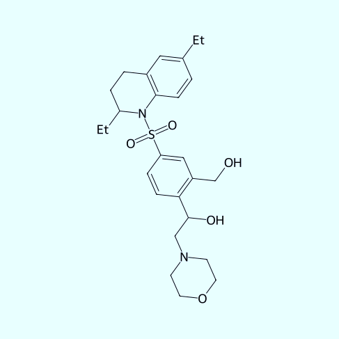 CCc1ccc2c(c1)CCC(CC)N2S(=O)(=O)c1ccc(C(O)CN2CCOCC2)c(CO)c1